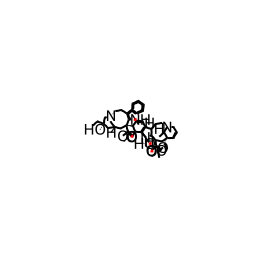 CC[C@]1(O)C[C@@H]2C[N@@](CCc3c([nH]c4ccccc34)[C@@](C(=O)OC)(C3C=CC4=C(C3OC)N(C)[C@@H]3[C@@H]4CC[N@@]4CC=C[C@@](CC)([C@@H](OC(C)=O)[C@]3(O)C(=O)OC)[C@H]4C)C2)C1